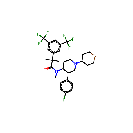 CN(C(=O)C(C)(C)c1cc(C(F)(F)F)cc(C(F)(F)F)c1)[C@H]1CCN(C2CCSCC2)C[C@@H]1c1ccc(F)cc1